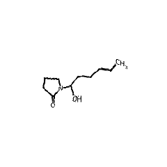 CCCCCC(O)N1CCCC1=O